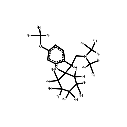 [2H]C([2H])([2H])Oc1ccc(C([2H])(CN(C([2H])([2H])[2H])C([2H])([2H])[2H])C2(O)C([2H])([2H])C([2H])([2H])C([2H])([2H])C([2H])([2H])C2([2H])[2H])cc1